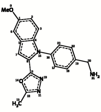 COc1ccc2c(c1)cc(-c1nnc(C)o1)n2-c1ccc(CN)cc1